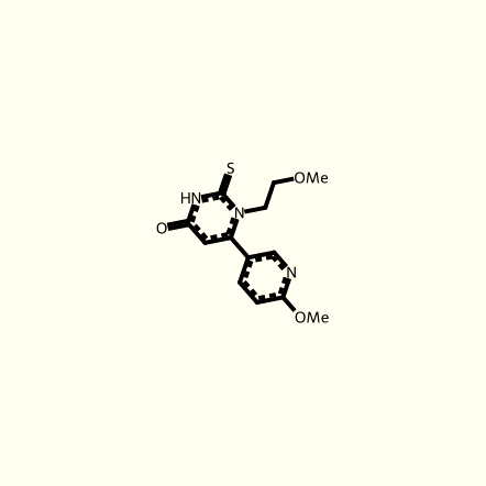 COCCn1c(-c2ccc(OC)nc2)cc(=O)[nH]c1=S